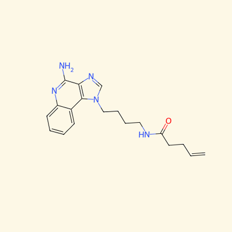 C=CCCC(=O)NCCCCn1cnc2c(N)nc3ccccc3c21